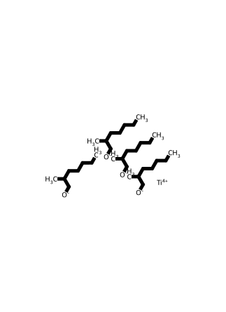 CCCCCC(C)C[O-].CCCCCC(C)C[O-].CCCCCC(C)C[O-].CCCCCC(C)C[O-].[Ti+4]